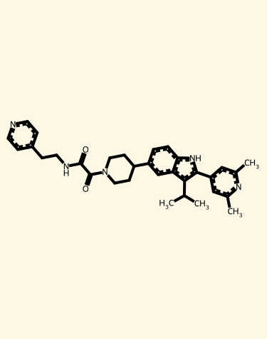 Cc1cc(-c2[nH]c3ccc(C4CCN(C(=O)C(=O)NCCc5ccncc5)CC4)cc3c2C(C)C)cc(C)n1